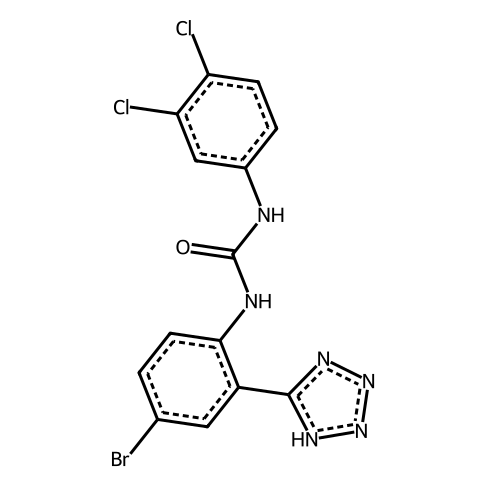 O=C(Nc1ccc(Cl)c(Cl)c1)Nc1ccc(Br)cc1-c1nnn[nH]1